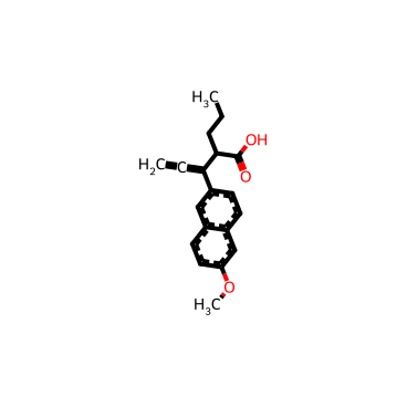 C=C=C(c1ccc2cc(OC)ccc2c1)C(CCC)C(=O)O